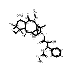 CO[C@H]1C[C@H]2OC[C@@]2(C)C2[C@H](C)[C@]3(O)C[C@H](OC(=O)C(O)C(NC(=O)OC(C)(C)C)c4ccccc4)C(C)=C([C@@H](CO)C(=O)[C@@]21C)C3(C)C